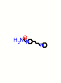 NC(=O)CN1CCC(CCCCN2CCCCC2)CC1